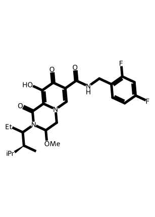 CCC([C@@H](C)C(C)C)N1C(=O)c2c(O)c(=O)c(C(=O)NCc3ccc(F)cc3F)cn2CC1OC